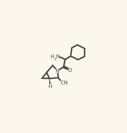 N#CC1[C@@H]2CC2CN1C(=O)C(N)C1CCCCC1